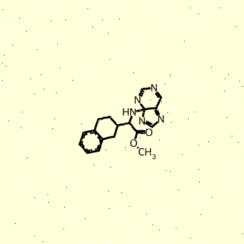 COC(=O)C(NC12N=CN=CC1=NC=N2)C1CCc2ccccc2C1